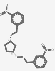 O=[N+]([O-])c1cccc(COC[C@@H]2CC[C@H](OCc3cccc([N+](=O)[O-])c3)C2)c1